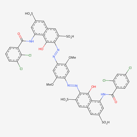 COc1cc(N=Nc2c(S(=O)(=O)O)cc3cc(S(=O)(=O)O)cc(NC(=O)c4cccc(Cl)c4Cl)c3c2O)c(OC)cc1N=Nc1c(S(=O)(=O)O)cc2cc(S(=O)(=O)O)cc(NC(=O)c3ccc(Cl)cc3Cl)c2c1O